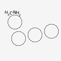 C1CCCCCCCCCCC1.C1CCCCCCCCCCC1.C1CCCCCCCCCCC1.C1CCCCCCCCCCC1.CN